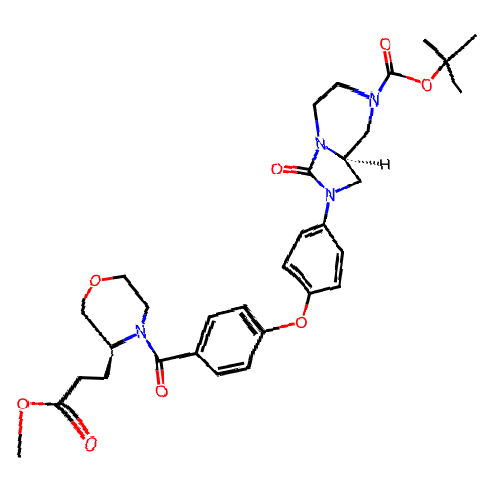 COC(=O)CC[C@H]1COCCN1C(=O)c1ccc(Oc2ccc(N3C[C@@H]4CN(C(=O)OC(C)(C)C)CCN4C3=O)cc2)cc1